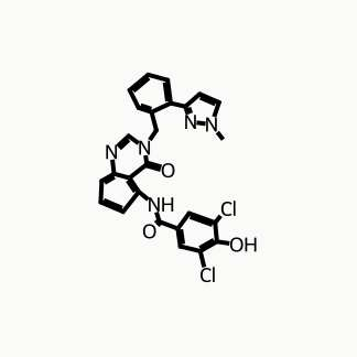 Cn1ccc(-c2ccccc2Cn2cnc3cccc(NC(=O)c4cc(Cl)c(O)c(Cl)c4)c3c2=O)n1